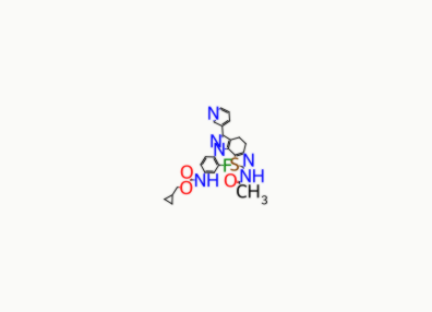 CC(=O)Nc1nc2c(s1)-c1c(c(-c3cccnc3)nn1-c1ccc(NC(=O)OCC3CC3)cc1F)CC2